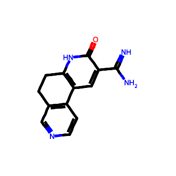 N=C(N)c1cc2c([nH]c1=O)CCc1cnccc1-2